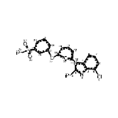 CC(C)c1nc2c(Cl)cccc2n1-c1cccc(Oc2cccc(S(=O)(=O)C(C)C)c2)c1